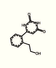 O=c1cc(-c2ccccc2CCO)[nH]c(=O)[nH]1